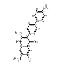 COc1cc2[nH]c(C)c(-c3ccc(-c4ccc(C(F)(F)F)nc4)cc3)c(=O)c2cc1Cl